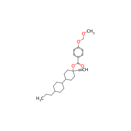 C#CC1(OC(=O)c2ccc(OCOC)cc2)CCC(C2CCC(CCC)CC2)CC1